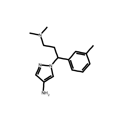 Cc1cccc(C(CCN(C)C)n2cc(N)cn2)c1